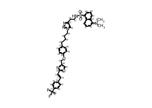 CN(C)c1cccc2c(S(=O)(=O)NCCc3cn(CCCCc4ccc(OCc5coc(/C=C/c6ccc(C(F)(F)F)cc6)n5)cc4)nn3)cccc12